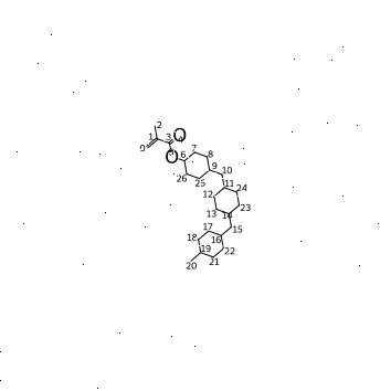 C=C(C)C(=O)OC1CCC(CC2CCC(CC3CCC(C)CC3)CC2)CC1